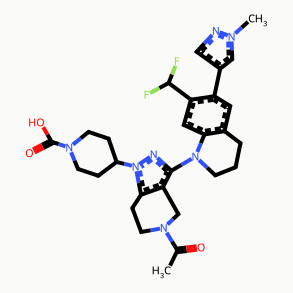 CC(=O)N1CCc2c(c(N3CCCc4cc(-c5cnn(C)c5)c(C(F)F)cc43)nn2C2CCN(C(=O)O)CC2)C1